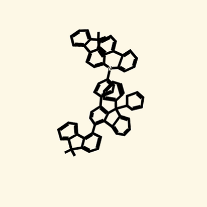 CC1(C)c2ccccc2-c2ccc(N(c3ccc(-c4ccc(-c5cccc6c5-c5ccccc5C6(C)C)c5c4C(c4c#cccc4)(C4C=CC=CC4)c4ccccc4-5)cc3)c3ccccc3-c3ccccc3)cc21